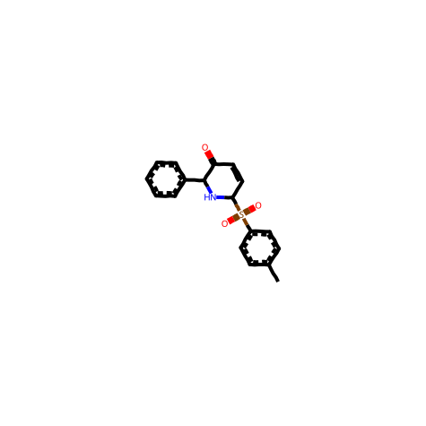 Cc1ccc(S(=O)(=O)C2C=CC(=O)C(c3ccccc3)N2)cc1